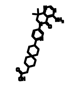 CC1(C)CN(c2ccc(C3CCC4(CCC(CC(=O)O)CC4)CC3)nc2)C(=O)c2c(N)ncnc21